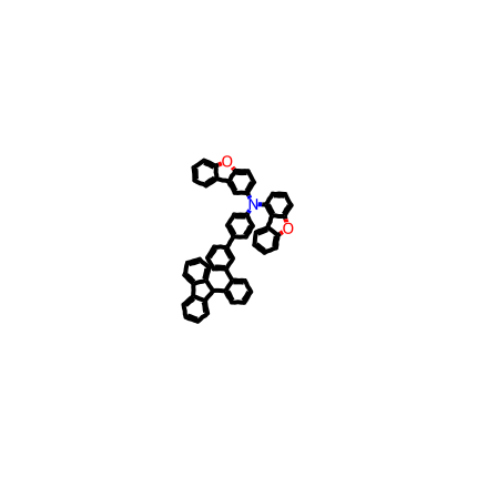 c1cc(-c2ccc(N(c3ccc4oc5ccccc5c4c3)c3cccc4oc5ccccc5c34)cc2)cc(-c2ccccc2C2c3ccccc3-c3ccccc32)c1